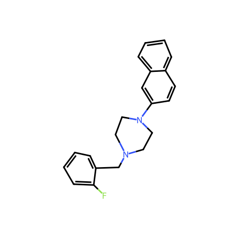 Fc1ccccc1CN1CCN(c2ccc3ccccc3c2)CC1